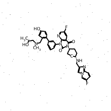 C[C@@H](O)CN(C)Cc1cc(O)ccc1-c1cccc(-n2c(=O)n([C@H]3CC[C@@H](NCc4cn5cc(F)ccc5n4)CC3)c(=O)c3cc(F)cnc32)c1